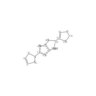 C1=CSC(c2nc3c(s2)NC(C2=CCCS2)S3)C1